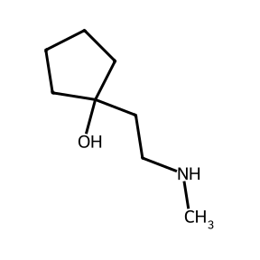 CNCCC1(O)CCCC1